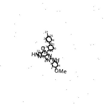 COc1ccc(Nc2ncc3c4n[nH]cc4c(=O)n(-c4cccc(-c5ccc(C)cc5)c4)c3n2)cc1